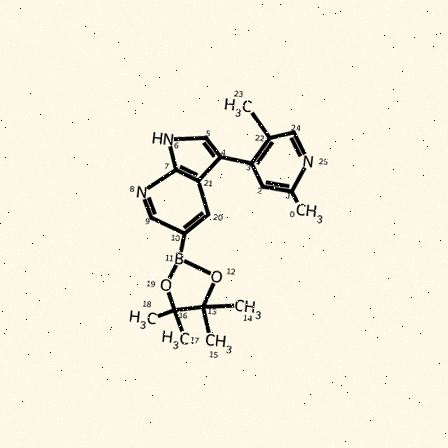 Cc1cc(-c2c[nH]c3ncc(B4OC(C)(C)C(C)(C)O4)cc23)c(C)cn1